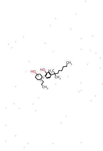 CCCCCCC(C)(C)c1ccc([C@H]2C[C@H](O)CC[C@@H]2CCC)c(O)c1